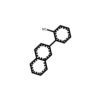 N#Cc1ccccc1-c1ccc2ccccc2c1